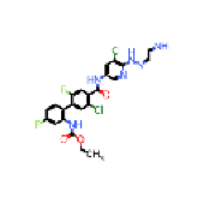 CCOC(=O)Nc1cc(F)ccc1-c1cc(Cl)c(C(=O)Nc2cnc(N/N=C\C=N)c(Cl)c2)cc1F